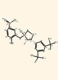 C[C@H]1[C@@H](c2cc(C(F)(F)F)cc(C(F)(F)F)c2)OC[N+]1([O-])Cc1cc([N+](=O)[O-])ccc1Br